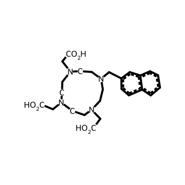 O=C(O)CN1CCN(CC(=O)O)CCN(Cc2ccc3ccccc3c2)CCN(CC(=O)O)CC1